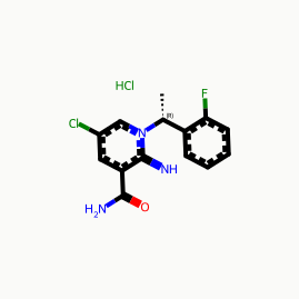 C[C@H](c1ccccc1F)n1cc(Cl)cc(C(N)=O)c1=N.Cl